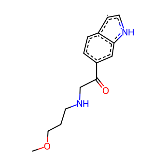 COCCCNCC(=O)c1ccc2[c]c[nH]c2c1